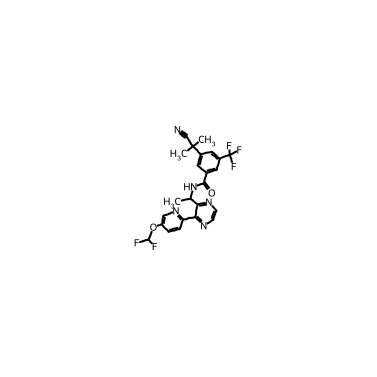 CC(NC(=O)c1cc(C(F)(F)F)cc(C(C)(C)C#N)c1)c1nccnc1-c1ccc(OC(F)F)cn1